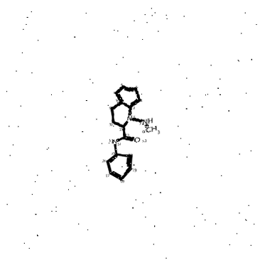 CNN1c2ccccc2CCC1C(=O)Nc1ccccc1